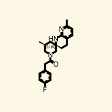 Cc1ccc2c(n1)N[C@@]1(CC2)C[C@H](C)CN(C(=O)Cc2ccc(F)cc2)C1